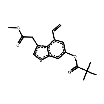 C=Cc1cc(OC(=O)C(C)(C)C)cc2scc(CC(=O)OC)c12